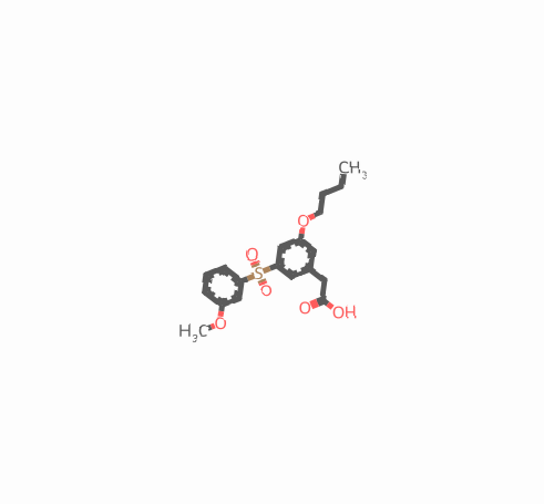 CCCCOc1cc(CC(=O)O)cc(S(=O)(=O)c2cccc(OC)c2)c1